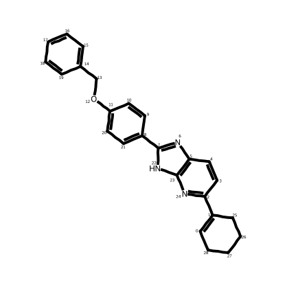 C1=C(c2ccc3nc(-c4ccc(OCc5ccccc5)cc4)[nH]c3n2)CCCC1